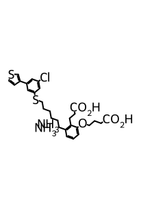 N.N.O=C(O)CCCOc1cccc(CCCCCCSc2cc(Cl)cc(-c3ccsc3)c2)c1CCC(=O)O